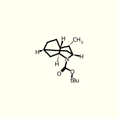 C[C@H]1[C@H]2CC[C@@H]3C[C@H]1N(C(=O)OC(C)(C)C)[C@H]2C3